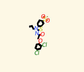 C=CCn1/c(=N/C(=O)COc2ccc(Cl)cc2Cl)sc2cc(S(C)(=O)=O)ccc21